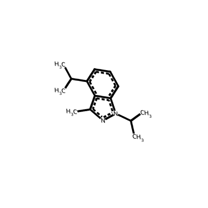 Cc1nn(C(C)C)c2cccc(C(C)C)c12